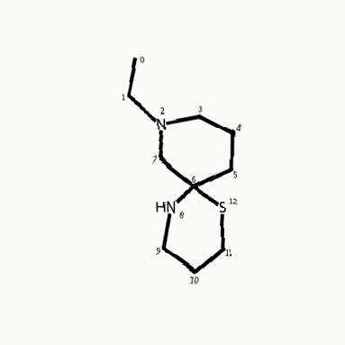 CCN1CCCC2(C1)NCCCS2